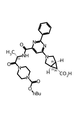 CCCCOC(=O)N1CCN(C(=O)[C@H](C)NC(=O)c2cc(N3C[C@@H]4[C@H](C3)[C@H]4C(=O)O)nc(-c3ccccc3)n2)CC1